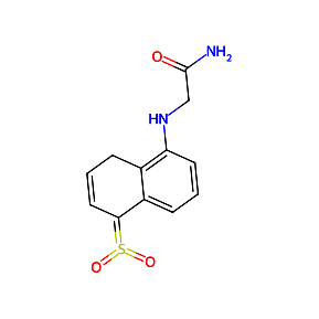 NC(=O)CNc1cccc2c1CC=CC2=S(=O)=O